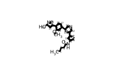 CCCCC(=O)Nc1csc(-c2cncc(-c3ccc(-c4cc(O)no4)c(OC)c3)n2)c1